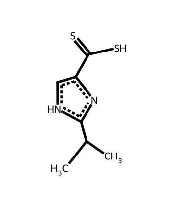 CC(C)c1nc(C(=S)S)c[nH]1